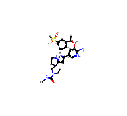 CC(C)NC(=O)N1CC[C@@]2(CCn3nc(-c4cnc(N)c(OC(C)c5cccc(S(C)(=O)=O)c5)c4)cc32)C1